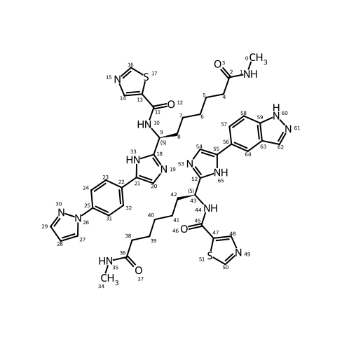 CNC(=O)CCCCC[C@H](NC(=O)c1cncs1)c1ncc(-c2ccc(-n3cccn3)cc2)[nH]1.CNC(=O)CCCCC[C@H](NC(=O)c1cncs1)c1ncc(-c2ccc3[nH]ncc3c2)[nH]1